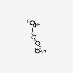 N#Cc1cccnc1Oc1ccc(N2CCN(CCCc3c[nH]c4ccc(F)cc34)CC2)cc1